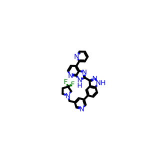 FC1(F)CCN(Cc2cncc(-c3ccc4[nH]nc(-c5nc6c(-c7ccccn7)ccnc6[nH]5)c4c3)c2)C1